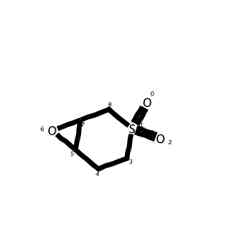 O=S1(=O)CCC2OC2C1